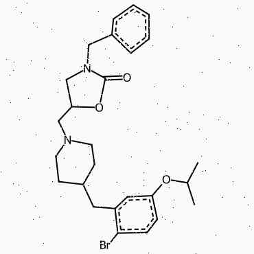 CC(C)Oc1ccc(Br)c(CC2CCN(CC3CN(Cc4ccccc4)C(=O)O3)CC2)c1